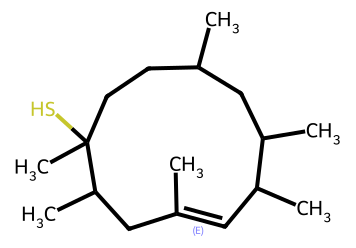 C/C1=C\C(C)C(C)CC(C)CCC(C)(S)C(C)C1